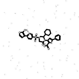 Cc1occc1-c1ccc(S(=O)(=O)N2CC(=O)N(c3cc(-c4ccccc4)sc3C(=O)O)C(C3CCCCC3)C2)cn1